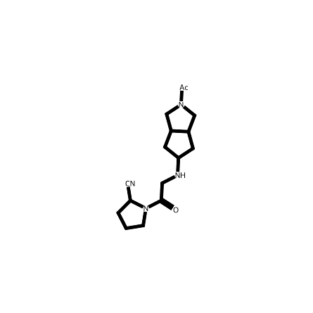 CC(=O)N1CC2CC(NCC(=O)N3CCCC3C#N)CC2C1